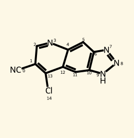 N#Cc1cnc2cc3nn[nH]c3cc2c1Cl